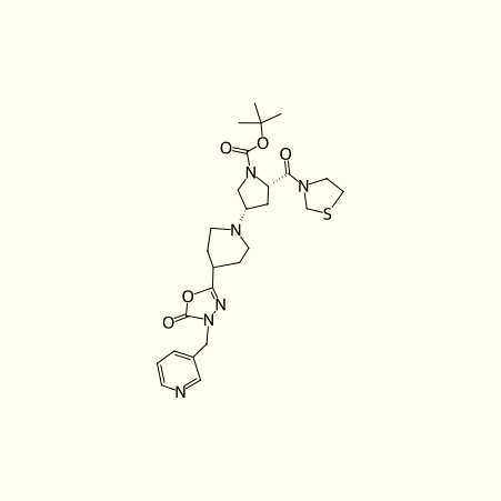 CC(C)(C)OC(=O)N1C[C@@H](N2CCC(c3nn(Cc4cccnc4)c(=O)o3)CC2)C[C@H]1C(=O)N1CCSC1